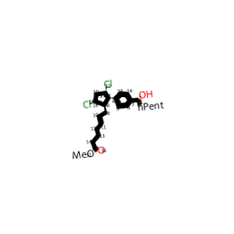 CCCCCC(O)c1ccc([C@@H]2[C@@H](CC=CCCCC(=O)OC)[C@H](Cl)C[C@@H]2Cl)cc1